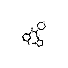 Cc1cccc(NC(=[N+]=C2CCCN2C)N2CCOCC2)c1